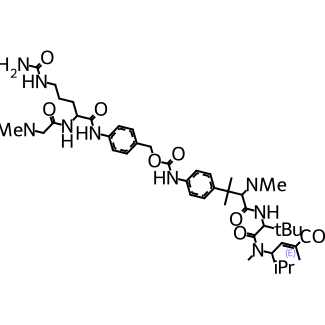 CNCC(=O)NC(CCCNC(N)=O)C(=O)Nc1ccc(COC(=O)Nc2ccc(C(C)(C)C(NC)C(=O)NC(C(=O)N(C)C(/C=C(\C)C(=O)O)C(C)C)C(C)(C)C)cc2)cc1